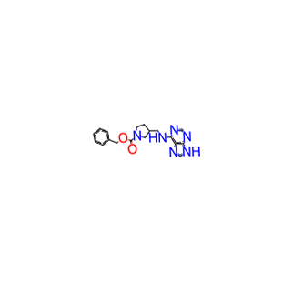 O=C(OCc1ccccc1)N1CCC(CNc2ncnc3[nH]cnc23)C1